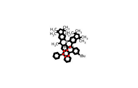 Cc1cc(N(c2ccccc2)c2ccccc2)cc2c1B(c1cc3c(cc1C(C)c1ccc(C(C)(C)C)cc1-c1ccccc1)C(C)(C)CC3(C)C)c1cc3c(cc1C2C)C(C)(C)CC3(C)C